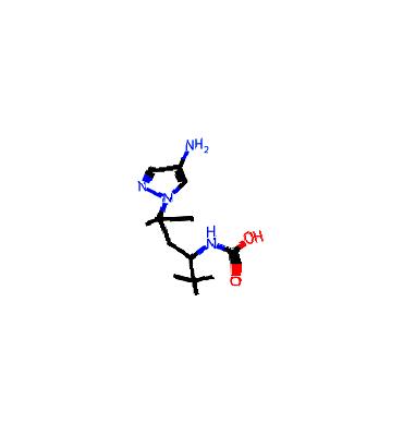 CC(C)(C)C(CC(C)(C)n1cc(N)cn1)NC(=O)O